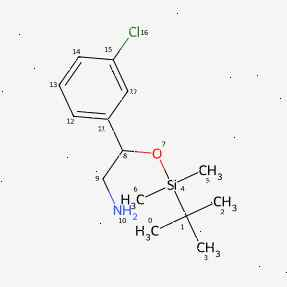 CC(C)(C)[Si](C)(C)OC(CN)c1cccc(Cl)c1